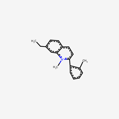 CCc1ccc2ccc(-c3ccccc3C)[n+](C)c2c1